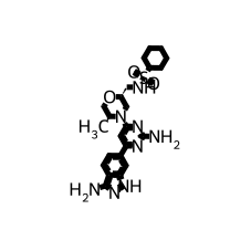 C[C@@H]1CO[C@H](CNS(=O)(=O)C2CCCCC2)CN1c1cc(-c2ccc3c(N)n[nH]c3c2)nc(N)n1